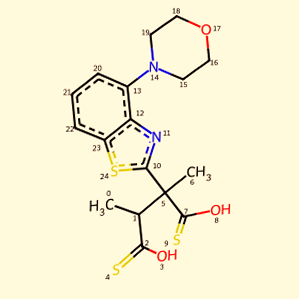 CC(C(O)=S)C(C)(C(O)=S)c1nc2c(N3CCOCC3)cccc2s1